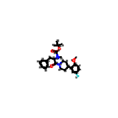 COc1ccc(F)cc1C1CCN(C(=O)C(Cc2ccccc2)N(C)C(=O)OC(C)(C)C)CC1